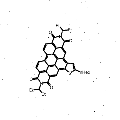 CCCCCCc1cc2c3cc4c(=O)n(C(CC)CC)c(=O)c5ccc6c7ccc8c(=O)n(C(CC)CC)c(=O)c9cc(c2s1)c(c7c89)c3c6c54